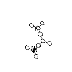 c1ccc(-c2cc(-c3ccc(-c4cc(-c5ccccc5)cc(-c5ccccc5)n4)cc3)cc(-c3ccc(-c4nc(-c5ccccc5)nc(-c5ccccc5)n4)cc3)c2)cc1